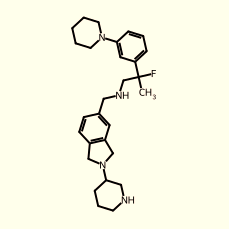 CC(F)(CNCc1ccc2c(c1)CN(C1CCCNC1)C2)c1cccc(N2CCCCC2)c1